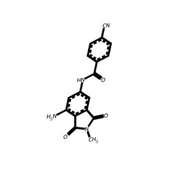 CN1C(=O)c2cc(NC(=O)c3ccc(C#N)cc3)cc(N)c2C1=O